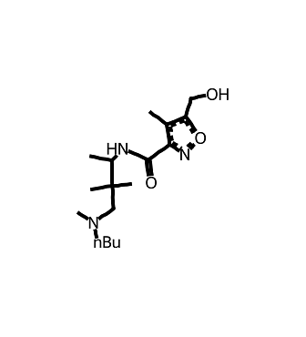 CCCCN(C)CC(C)(C)C(C)NC(=O)c1noc(CO)c1C